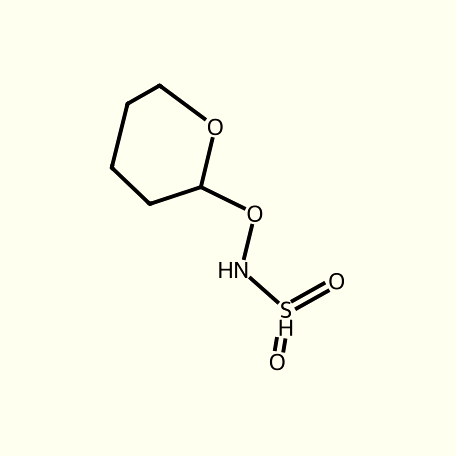 O=[SH](=O)NOC1CCCCO1